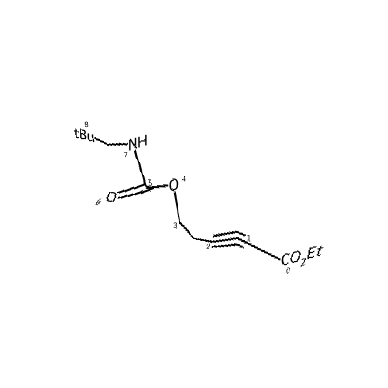 CCOC(=O)C#CCOC(=O)NC(C)(C)C